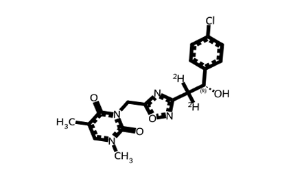 [2H]C([2H])(c1noc(Cn2c(=O)c(C)cn(C)c2=O)n1)[C@@H](O)c1ccc(Cl)cc1